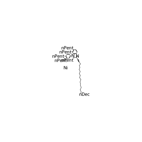 CCCCCCCCCCCCCCCCCCCCCCCCCC#CC(=Nc1ccc(CCCCC)c(CCCCC)c1)C(CCCCC)=Nc1ccc(CCCCC)c(CCCCC)c1.[Ni]